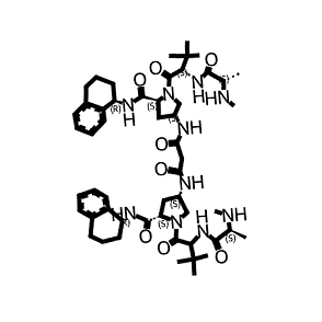 CN[C@@H](C)C(=O)NC(C(=O)N1C[C@@H](NC(=O)CC(=O)N[C@H]2C[C@@H](C(=O)N[C@@H]3CCCc4ccccc43)N(C(=O)[C@@H](NC(=O)[C@H](C)NC)C(C)(C)C)C2)C[C@H]1C(=O)N[C@@H]1CCCc2ccccc21)C(C)(C)C